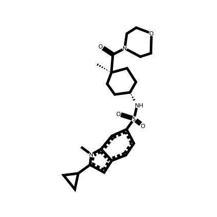 Cn1c(C2CC2)cc2ccc(S(=O)(=O)N[C@H]3CC[C@](C)(C(=O)N4CCOCC4)CC3)cc21